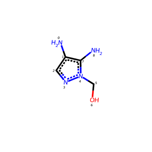 Nc1cnn(CO)c1N